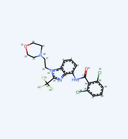 O=C(Nc1cccc2c1nc(C(F)(F)F)n2CCN1CCOCC1)c1c(Cl)cccc1Cl